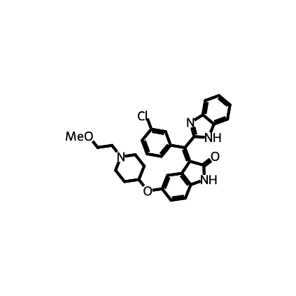 COCCN1CCC(Oc2ccc3c(c2)C(=C(c2cccc(Cl)c2)c2nc4ccccc4[nH]2)C(=O)N3)CC1